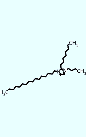 CCCCCCCCCCCCCCCCn1cc[n+](CCCC)c1CCCCCCCC